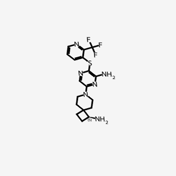 Nc1nc(N2CCC3(CC[C@@H]3N)CC2)cnc1Sc1cccnc1C(F)(F)F